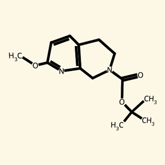 COc1ccc2c(n1)CN(C(=O)OC(C)(C)C)CC2